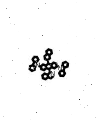 c1ccc2cc(-c3c4cc(-n5c6ccccc6c6ccccc65)ccc4c(-c4nccc5ccccc45)c4cc(-n5c6ccccc6c6ccccc65)ccc34)ccc2c1